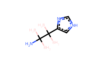 BC(B)(N)C(B)(B)c1c[nH]cn1